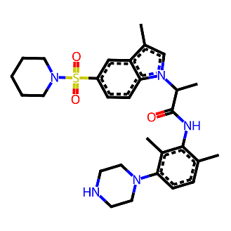 Cc1ccc(N2CCNCC2)c(C)c1NC(=O)C(C)n1cc(C)c2cc(S(=O)(=O)N3CCCCC3)ccc21